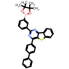 CC1(C)OB(c2cccc(-c3nc(-c4ccc(-c5ccccc5)cc4)c4sc5ccccc5c4n3)c2)OC1(C)C